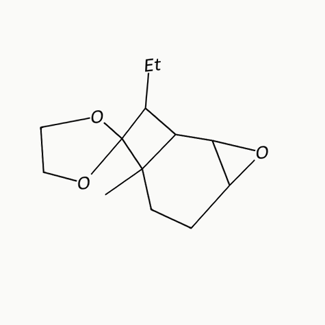 CCC1C2C3OC3CCC2(C)C12OCCO2